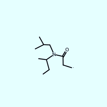 [CH2]CC(=O)N(CC(C)C)C(C)CC